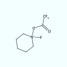 O=C(O[N+]1(F)CCCCC1)C(F)(F)F